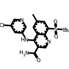 Cc1cc(S(=O)(=O)C(C)(C)C)c2ncc(C(N)=O)c(Nc3cncc(Cl)c3)c2c1